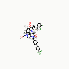 [2H]C1=C(SC([2H])([2H])c2cccc(F)c2F)N(C([2H])([2H])C(=O)N(C2CCN(CCOC)CC2)C([2H])([2H])c2ccc(-c3ccc(C(F)(F)F)cc3)cc2)c2c([2H])c([2H])c(C)c([2H])c2C1O